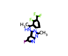 Cc1nc(NC(C)c2cccc(C(F)F)c2F)c2cc(I)cnc2n1